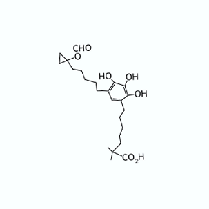 CC(C)(CCCCCc1cc(CCCCCC2(OC=O)CC2)c(O)c(O)c1O)C(=O)O